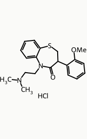 COc1ccccc1C1CSc2ccccc2N(CCN(C)C)C1=O.Cl